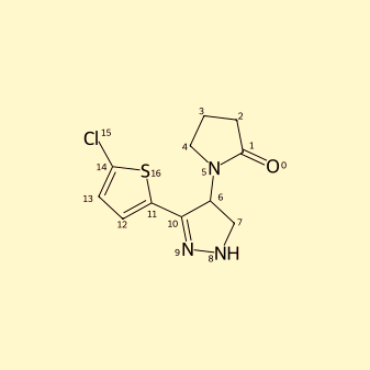 O=C1CCCN1C1CNN=C1c1ccc(Cl)s1